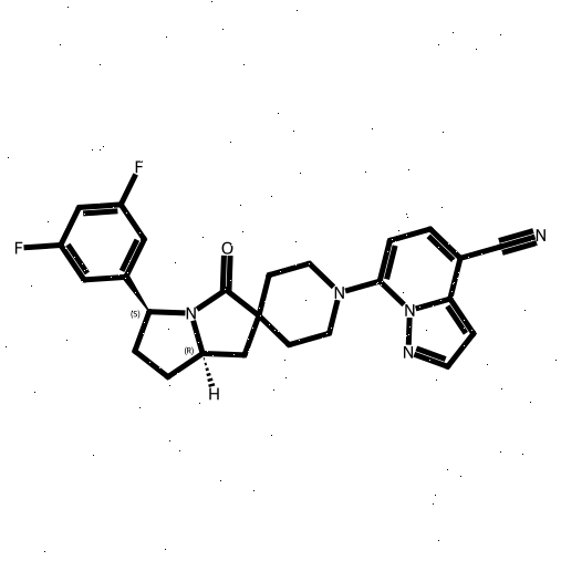 N#Cc1ccc(N2CCC3(CC2)C[C@H]2CC[C@@H](c4cc(F)cc(F)c4)N2C3=O)n2nccc12